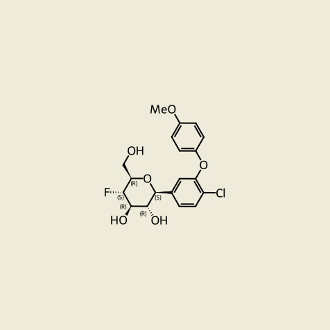 COc1ccc(Oc2cc([C@@H]3O[C@H](CO)[C@@H](F)[C@H](O)[C@H]3O)ccc2Cl)cc1